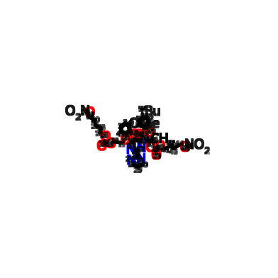 COc1ccccc1Oc1c(OCCOC(=O)OCCCCCO[N+](=O)[O-])nc(-c2ncccn2)nc1N(C(C)OC(=O)OCCCCO[N+](=O)[O-])S(=O)(=O)c1ccc(C(C)(C)C)cc1